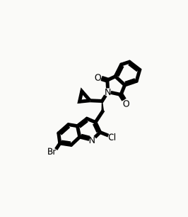 O=C1c2ccccc2C(=O)N1[C@@H](Cc1cc2ccc(Br)cc2nc1Cl)C1CC1